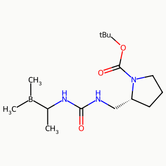 CB(C)C(C)NC(=O)NC[C@H]1CCCN1C(=O)OC(C)(C)C